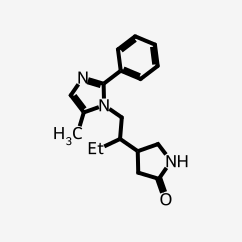 CCC(Cn1c(C)cnc1-c1ccccc1)C1CNC(=O)C1